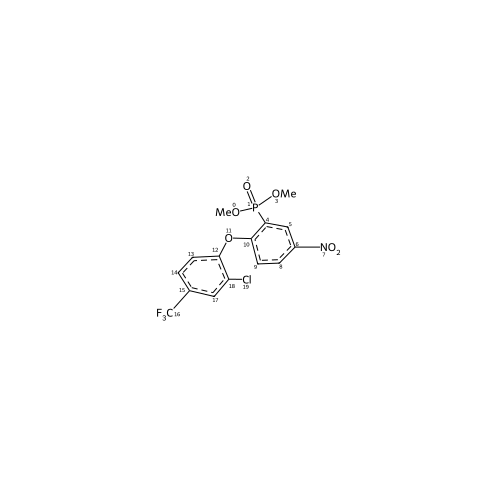 COP(=O)(OC)c1cc([N+](=O)[O-])ccc1Oc1ccc(C(F)(F)F)cc1Cl